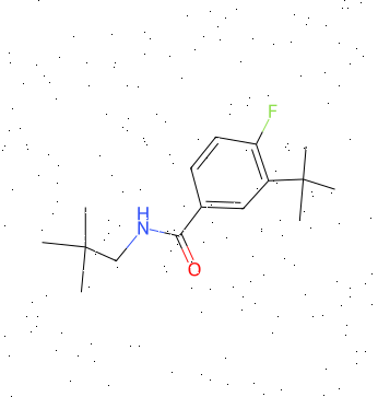 CC(C)(C)CNC(=O)c1ccc(F)c(C(C)(C)C)c1